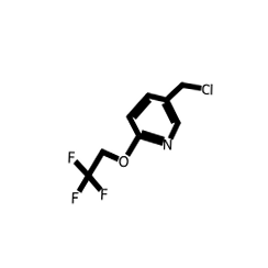 FC(F)(F)COc1ccc(CCl)cn1